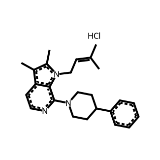 CC(C)=CCn1c(C)c(C)c2ccnc(N3CCC(c4ccccc4)CC3)c21.Cl